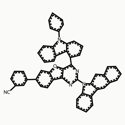 N#Cc1cccc(-c2ccc3c(c2)oc2c(-c4cccc5c4c4ccccc4n5-c4ccccc4)nc(-n4c5ccccc5c5cc6ccccc6cc54)nc23)c1